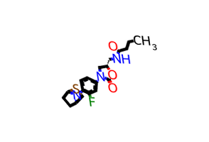 CCCC(=O)NC[C@H]1CN(c2ccc(N3C4CCC3SC4)c(F)c2)C(=O)O1